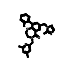 Cc1cc(C)nc(CN2CCOc3c(cc(Cn4ccnc4C)cc3-c3ccccc3C)C2=O)c1